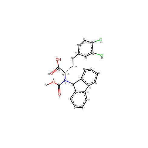 COC(=O)N(C1c2ccccc2-c2ccccc21)[C@@H](CCc1ccc(Cl)c(Cl)c1)C(=O)O